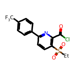 CCS(=O)(=O)c1ccc(-c2ccc(C(F)(F)F)cc2)nc1C(=O)Cl